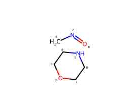 C1COCCN1.CN=O